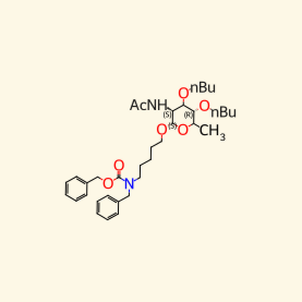 CCCCOC1[C@H](OCCCC)C(C)O[C@H](OCCCCCN(Cc2ccccc2)C(=O)OCc2ccccc2)[C@H]1NC(C)=O